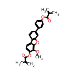 C=C(C)C(=O)Oc1ccc(-c2ccc3c(c2)oc2c(OC)c(OC(=O)C(=C)C)ccc23)cc1